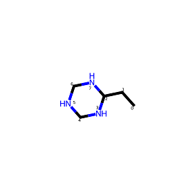 CCC1NCNCN1